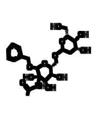 CC(=O)N[C@]1(O)C(OCc2ccccc2)O[C@H](COC2C[C@@H](O)[C@H](O)[C@@H](CO)O2)[C@@H](O)[C@@H]1O